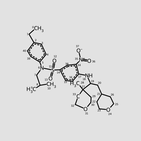 CCc1ccc(N(CC(C)C)S(=O)(=O)c2ccc(NC(CC3CCOCC3)C3(C)CCOCC3)c([N+](=O)[O-])c2)cc1